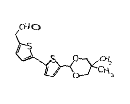 CC1(C)COC(c2ccc(-c3ccc(CC=O)s3)s2)OC1